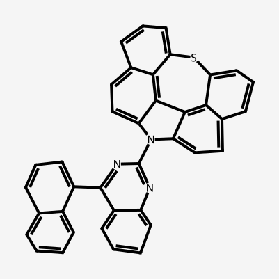 c1ccc2c(-c3nc(-n4c5ccc6cccc7sc8cccc9ccc4c(c98)c5c67)nc4ccccc34)cccc2c1